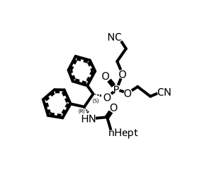 CCCCCCCC(=O)N[C@H](c1ccccc1)[C@@H](OP(=O)(OCCC#N)OCCC#N)c1ccccc1